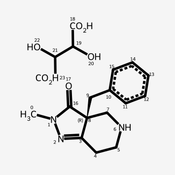 CN1N=C2CCNC[C@@]2(Cc2ccccc2)C1=O.O=C(O)C(O)C(O)C(=O)O